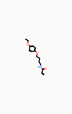 C=CC(=O)NCCCCOc1ccc(OCC)cc1